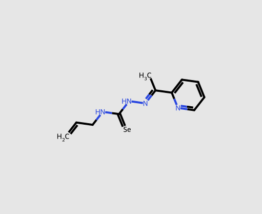 C=CCNC(=[Se])NN=C(C)c1ccccn1